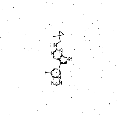 CC1(CNc2ncc3c(-c4cc(F)c5ncnn5c4)c[nH]c3n2)CC1